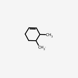 [CH2]C1CCC=CC1C